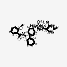 COc1ccccc1C(=O)NC[C@]1(c2ccccc2)CC[C@H](NS(=O)(=O)NCc2cnc(C)nc2N)CC1